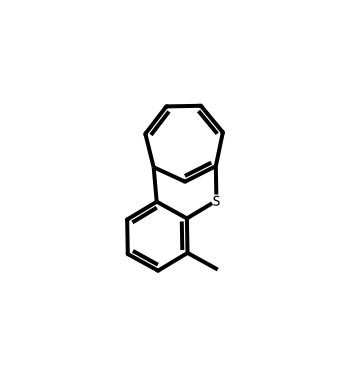 Cc1cccc2c1SC1=CC2C=CC=C1